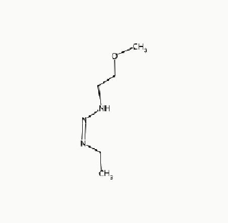 CC/N=N\NCCOC